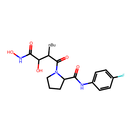 CCCCC(C(=O)N1CCCC1C(=O)Nc1ccc(F)cc1)C(O)C(=O)NO